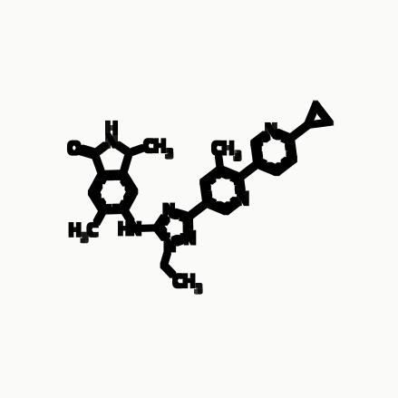 CCn1nc(-c2cnc(-c3ccc(C4CC4)nc3)c(C)c2)nc1Nc1cc2c(cc1C)C(=O)NC2C